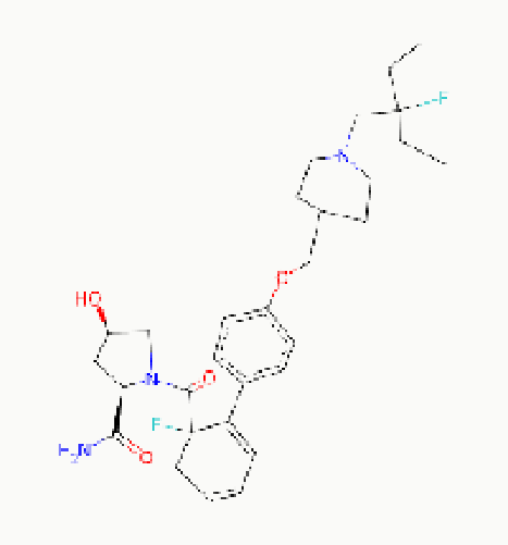 CCC(F)(CC)CN1CCC(COc2ccc(C3=CC=CCC3(F)C(=O)N3C[C@H](O)C[C@@H]3C(N)=O)cc2)CC1